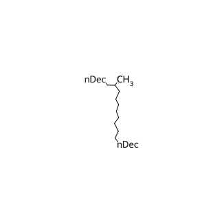 CCCCCCCCCCCCCCCCCCC(C)CCCCCCCCCCC